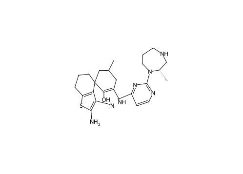 CC1CC(C(=N)c2ccnc(N3CCCNC[C@@H]3C)n2)=C(O)C2(CCCc3sc(N)c(C#N)c32)C1